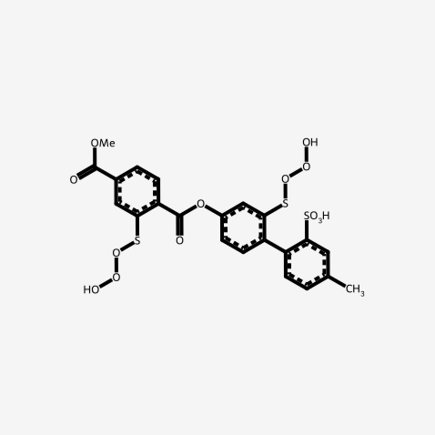 COC(=O)c1ccc(C(=O)Oc2ccc(-c3ccc(C)cc3S(=O)(=O)O)c(SOOO)c2)c(SOOO)c1